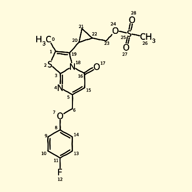 Cc1sc2nc(COc3ccc(F)cc3)cc(=O)n2c1C1CC1COS(C)(=O)=O